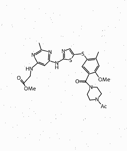 COC(=O)CNc1cc(Nc2ncc(Sc3cc(C(=O)N4CCN(C(C)=O)CC4)c(OC)cc3C)s2)nc(C)n1